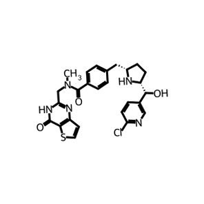 CN(Cc1nc2ccsc2c(=O)[nH]1)C(=O)c1ccc(C[C@@H]2CC[C@H](C(O)c3ccc(Cl)nc3)N2)cc1